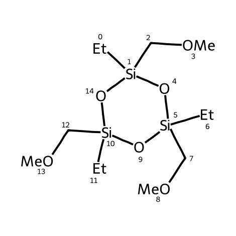 CC[Si]1(COC)O[Si](CC)(COC)O[Si](CC)(COC)O1